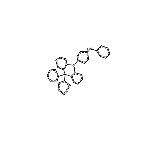 c1ccc(Nc2ccc(N3c4ccccc4C(c4ccccc4)(c4ccccc4)c4ccccc43)cc2)cc1